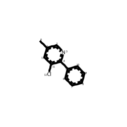 Cc1cnc(-c2ccccc2)c(Cl)c1